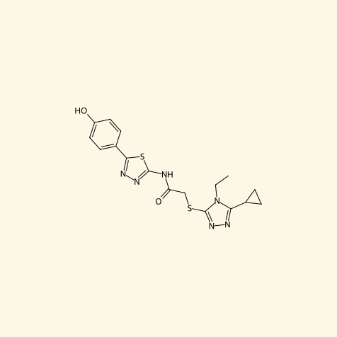 CCn1c(SCC(=O)Nc2nnc(-c3ccc(O)cc3)s2)nnc1C1CC1